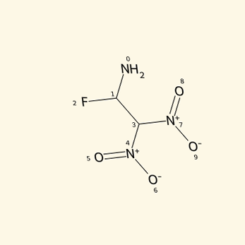 NC(F)C([N+](=O)[O-])[N+](=O)[O-]